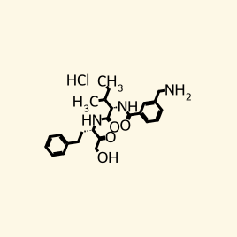 CCC(C)[C@H](NC(=O)c1cccc(CN)c1)C(=O)N[C@@H](CCc1ccccc1)C(=O)CO.Cl